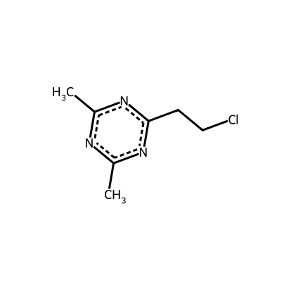 Cc1nc(C)nc(CCCl)n1